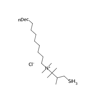 CCCCCCCCCCCCCCCCCC[N+](C)(C)C(C)(C)C(C)C[SiH3].[Cl-]